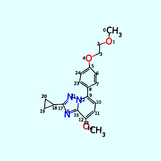 COCCOc1ccc(-c2ccc(OC)c3nc(C4CC4)nn23)cc1